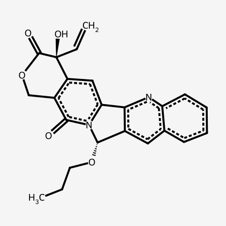 C=C[C@@]1(O)C(=O)OCc2c1cc1n(c2=O)[C@@H](OCCC)c2cc3ccccc3nc2-1